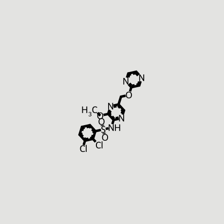 COc1nc(COc2cnccn2)cnc1NS(=O)(=O)c1cccc(Cl)c1Cl